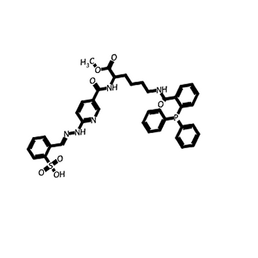 COC(=O)C(CCCCNC(=O)c1ccccc1P(c1ccccc1)c1ccccc1)NC(=O)c1ccc(NN=Cc2ccccc2S(=O)(=O)O)nc1